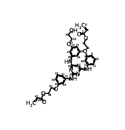 C=CC(=O)OCCOc1cccc(Nc2nc(Nc3cccc(OCCO)c3)nc(Nc3cccc(OCCOC(=O)C=C)c3)n2)c1